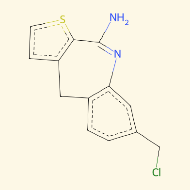 NC1=Nc2cc(CCl)ccc2Cc2ccsc21